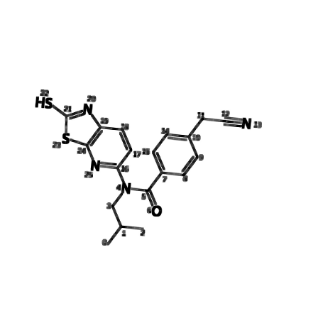 CC(C)CN(C(=O)c1ccc(CC#N)cc1)c1ccc2nc(S)sc2n1